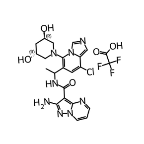 CC(NC(=O)c1c(N)nn2cccnc12)c1cc(Cl)c2cncn2c1N1C[C@H](O)C[C@@H](O)C1.O=C(O)C(F)(F)F